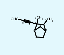 CC1C2CCC(C2)C1(C)C#CC=O